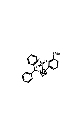 CSc1cccc(C2(S(C)(=O)=O)C3C[N+]2(C(c2ccccc2)c2ccccc2)C3)c1